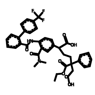 CCOC(=O)C(CCC(C(=O)O)c1ccc(NC(=O)c2ccccc2-c2ccc(C(F)(F)F)cc2)c(C(=O)N(C)C)c1)(CC(=O)O)c1ccccc1